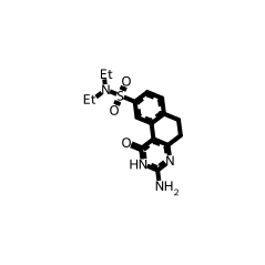 CCN(CC)S(=O)(=O)c1ccc2c(c1)-c1c(nc(N)[nH]c1=O)CC2